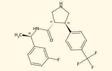 C[C@@H](NC(=O)[C@@H]1CNC[C@H]1c1ccc(C(F)(F)F)cc1)c1cccc(F)c1